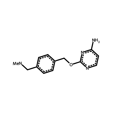 CNCc1ccc(COc2nccc(N)n2)cc1